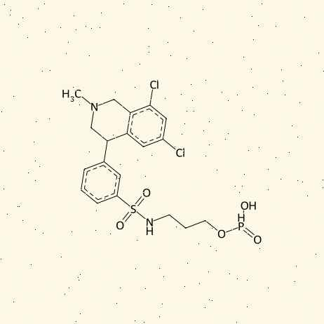 CN1Cc2c(Cl)cc(Cl)cc2C(c2cccc(S(=O)(=O)NCCCO[PH](=O)O)c2)C1